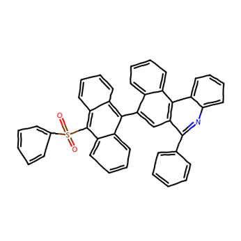 O=S(=O)(c1ccccc1)c1c2ccccc2c(-c2cc3c(-c4ccccc4)nc4ccccc4c3c3ccccc23)c2ccccc12